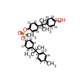 Cc1ccc(C(C)(C)c2ccc(OP(C)(=O)Oc3ccc(C(C)(C)c4ccc(O)cc4)cc3)cc2)cc1